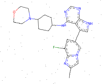 Cc1cn2cc(-c3c[nH]c4ncnc(NC5CCC(N6CCOCC6)CC5)c34)cc(F)c2n1